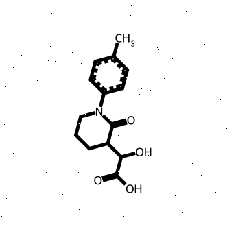 Cc1ccc(N2CCCC(C(O)C(=O)O)C2=O)cc1